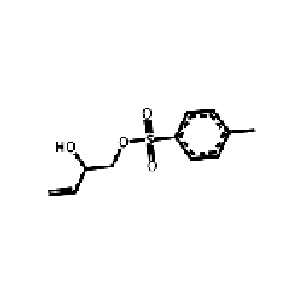 C=CC(O)COS(=O)(=O)c1ccc(C)cc1